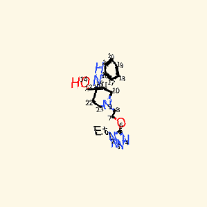 CCn1nnnc1OCCN1CCC(CO)(Nc2ccccc2)CC1